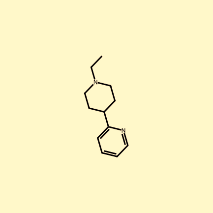 CCN1CCC(c2ccccn2)CC1